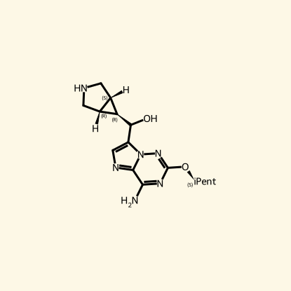 CCC[C@H](C)Oc1nc(N)c2ncc(C(O)[C@H]3[C@@H]4CNC[C@@H]43)n2n1